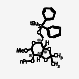 CCCO[C@H]1C(OC)O[C@H](CO[Si](c2ccccc2)(c2ccccc2)C(C)(C)C)[C@@H]2OC(C)(C)O[C@@H]21